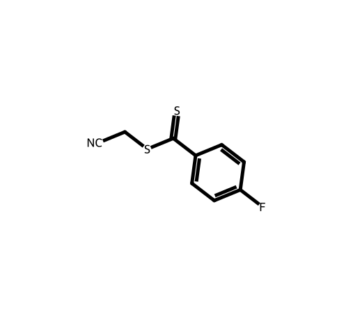 N#CCSC(=S)c1ccc(F)cc1